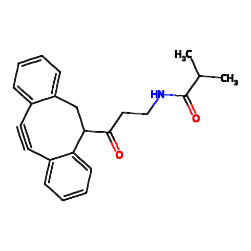 CC(C)C(=O)NCCC(=O)C1Cc2ccccc2C#Cc2ccccc21